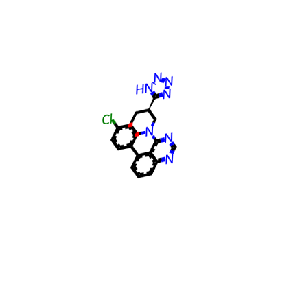 Clc1ccc(-c2cccc3ncnc(N4CCC[C@@H](c5nnn[nH]5)C4)c23)cc1